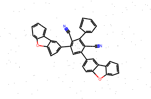 N#Cc1c(-c2ccc3oc4ccccc4c3c2)cc(-c2ccc3oc4ccccc4c3c2)c(C#N)c1-c1ccccc1